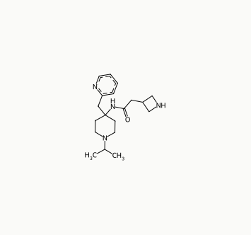 CC(C)N1CCC(Cc2ccccn2)(NC(=O)CC2CNC2)CC1